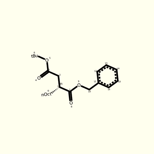 CCCCCCCC[C@H](CC(=O)OC(C)(C)C)C(=O)OCc1ccccc1